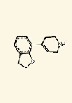 C1=C(c2cccc3c2OCC3)CCNC1